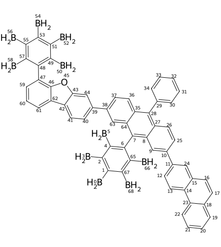 Bc1c(B)c(B)c(-c2c3cc(-c4ccc5c(ccc6ccccc65)c4)ccc3c(-c3ccccc3)c3ccc(-c4ccc5c(c4)oc4c(-c6c(B)c(B)c(B)c(B)c6B)cccc45)cc23)c(B)c1B